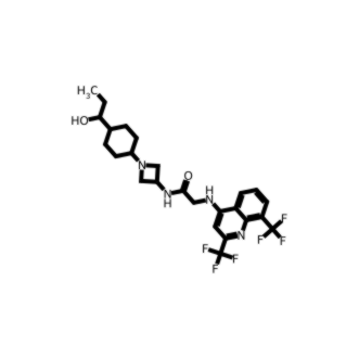 CCC(O)C1CCC(N2CC(NC(=O)CNc3cc(C(F)(F)F)nc4c(C(F)(F)F)cccc34)C2)CC1